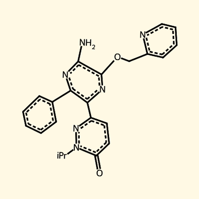 CC(C)n1nc(-c2nc(OCc3ccccn3)c(N)nc2-c2ccccc2)ccc1=O